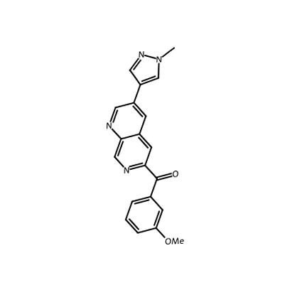 COc1cccc(C(=O)c2cc3cc(-c4cnn(C)c4)cnc3cn2)c1